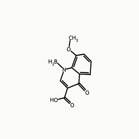 Bn1cc(C(=O)O)c(=O)c2cccc(OC)c21